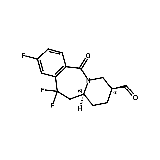 O=C[C@H]1CC[C@H]2CC(F)(F)c3cc(F)ccc3C(=O)N2C1